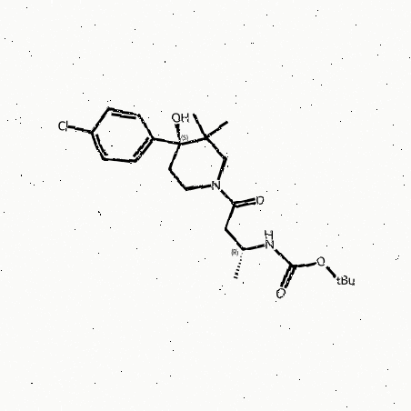 C[C@H](CC(=O)N1CC[C@](O)(c2ccc(Cl)cc2)C(C)(C)C1)NC(=O)OC(C)(C)C